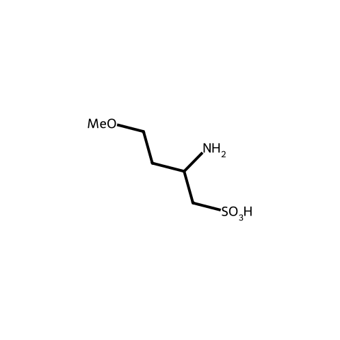 COCCC(N)CS(=O)(=O)O